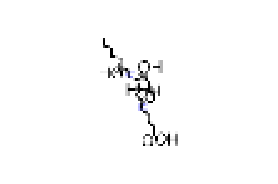 CCCCC[C@H](O)/C=C/C1[C@H](O)C[C@@H]2O/C(=C\CCCC(=O)O)C[C@H]12